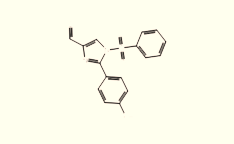 Cc1ccc(-c2nc(C=O)cn2S(=O)(=O)c2ccccc2)cc1